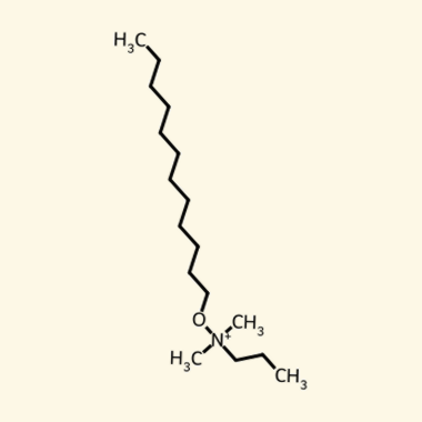 CCCCCCCCCCCCO[N+](C)(C)CCC